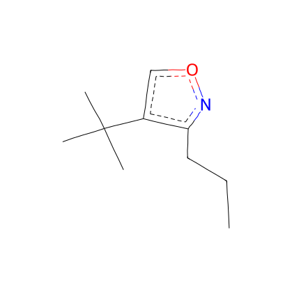 CCCc1nocc1C(C)(C)C